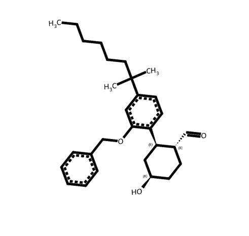 CCCCCCC(C)(C)c1ccc([C@@H]2C[C@H](O)CC[C@H]2C=O)c(OCc2ccccc2)c1